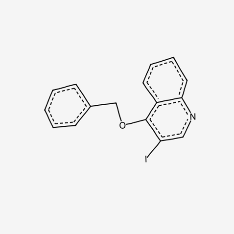 Ic1cnc2ccccc2c1OCc1ccccc1